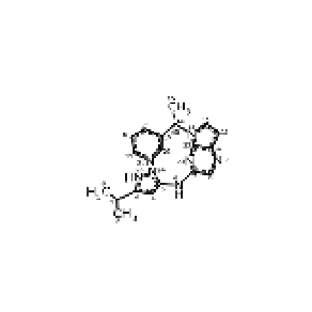 CC(C)c1cc(Nc2cnc3ccn([C@@H](C)c4cccnc4)c3n2)n[nH]1